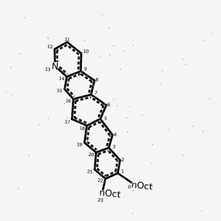 CCCCCCCCc1cc2cc3cc4cc5cccnc5cc4cc3cc2cc1CCCCCCCC